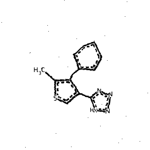 Cc1scc(-c2nnn[nH]2)c1-c1cc[c]cc1